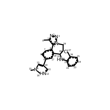 Cc1nnn2c1-c1ccc(/C(C=N)=C/N(C)C)cc1C(Nc1ccccc1Cl)CC2